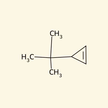 CC(C)(C)C1C=C1